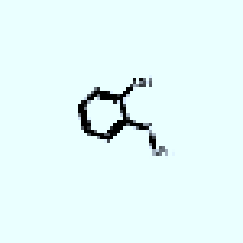 CCCCSc1ccccc1O